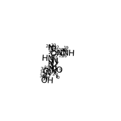 C=CCn1c(=O)c2cnc(Nc3cc(N4CCN[C@@H](C)C4)c4ccn(C)c4c3)nc2n1-c1cccc(C(C)(C)O)n1